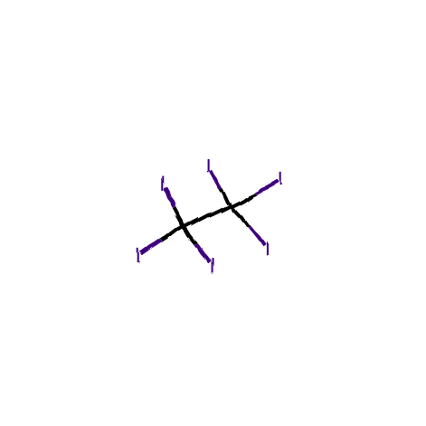 IC(I)(I)C(I)(I)I